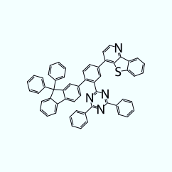 c1ccc(-c2nc(-c3ccccc3)nc(-c3cc(-c4ccnc5c4sc4ccccc45)ccc3-c3ccc4c(c3)C(c3ccccc3)(c3ccccc3)c3ccccc3-4)n2)cc1